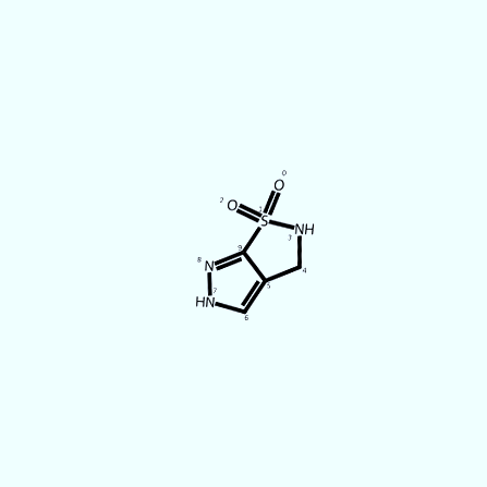 O=S1(=O)NCc2c[nH]nc21